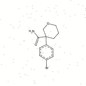 NC(=O)C1(c2ccc(Br)cc2)CCCOC1